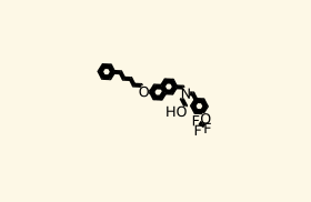 OCCN(Cc1ccc(OC(F)(F)F)cc1)Cc1ccc2cc(OCCCCCc3ccccc3)ccc2c1